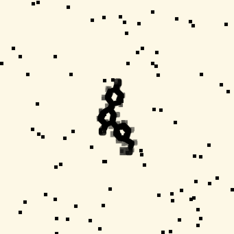 O=C1C=CC(=C2C=CC(=O)C(c3ccc(CO)cc3)=C2)C=C1